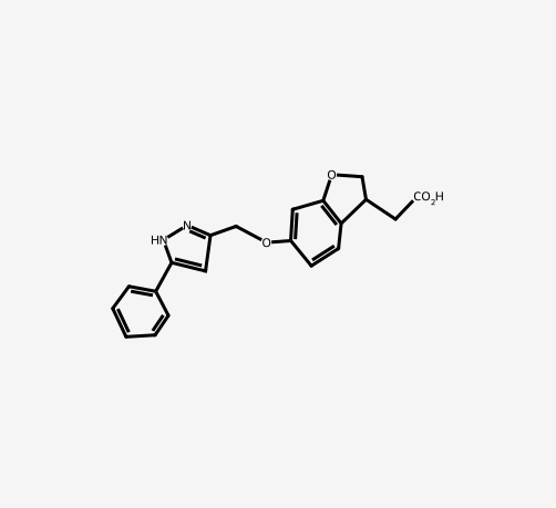 O=C(O)CC1COc2cc(OCc3cc(-c4ccccc4)[nH]n3)ccc21